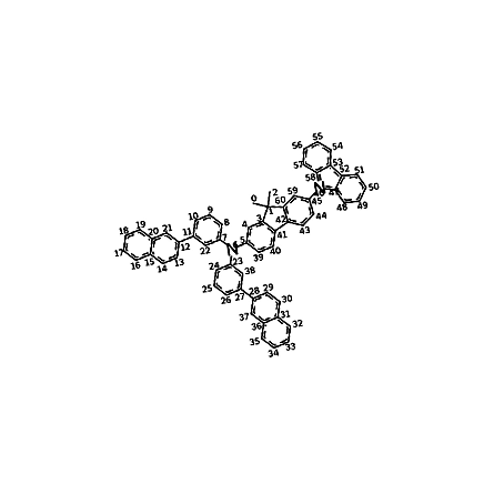 CC1(C)c2cc(N(c3cccc(-c4ccc5ccccc5c4)c3)c3cccc(-c4ccc5ccccc5c4)c3)ccc2-c2ccc(-n3c4ccccc4c4ccccc43)cc21